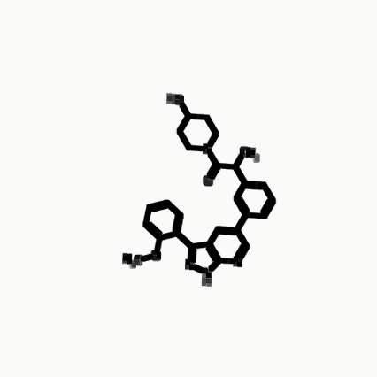 COc1ccccc1-c1n[nH]c2ncc(-c3cccc(C(C)C(=O)N4CCC(O)CC4)c3)cc12